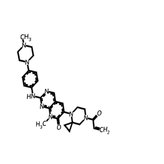 C=CC(=O)N1CCN(c2cc3cnc(Nc4ccc(N5CCN(C)CC5)cc4)nc3n(C)c2=O)C2(CC2)C1